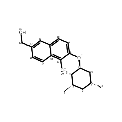 C[C@@H]1C[C@H](C)C[C@@H](Oc2ccc3cc(CO)ccc3c2C(F)(F)F)C1